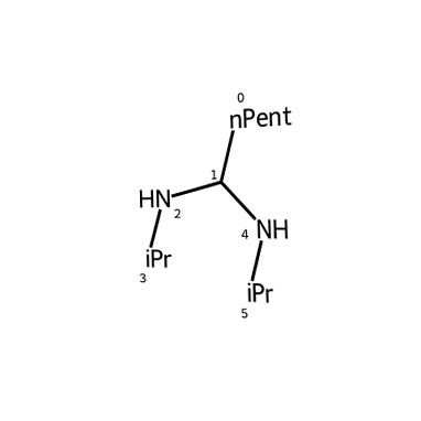 CCCCCC(NC(C)C)NC(C)C